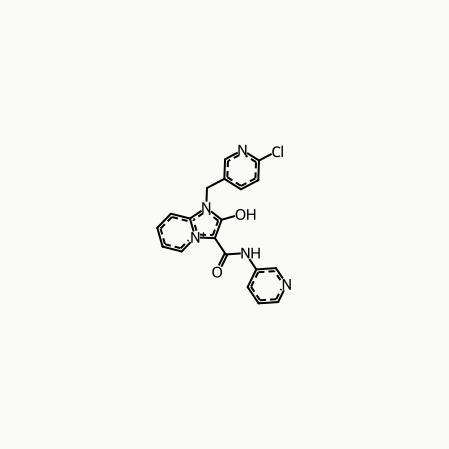 O=C(Nc1cccnc1)c1c(O)n(Cc2ccc(Cl)nc2)c2cccc[n+]12